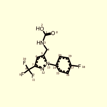 O=C(O)NCc1cc(C(F)(F)F)nn1-c1ccc(F)cc1